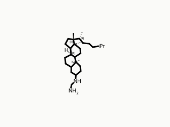 CC(C)CCC[C@@H](C)[C@@]1(C)CCC2[C@@H]3CCC4CC(NCN)CC[C@]4(C)C3CC[C@@]21C